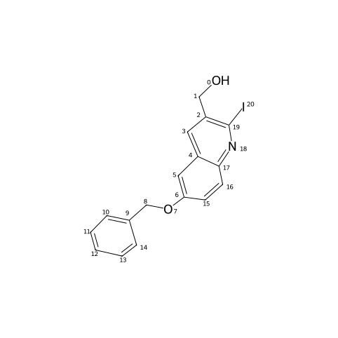 OCc1cc2cc(OCc3ccccc3)ccc2nc1I